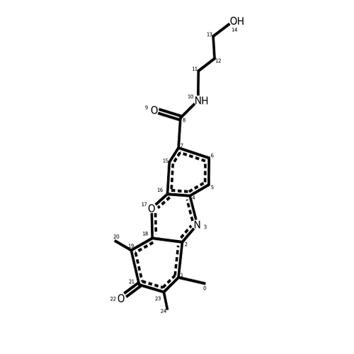 Cc1c2nc3ccc(C(=O)NCCCO)cc3oc-2c(C)c(=O)c1C